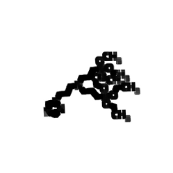 CCO[Si](CCCN(CCCn1cncn1)CCC[Si](OC)(OC)OC)(OCC)OCC